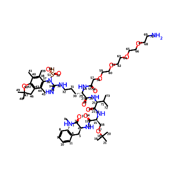 CNC(=O)[C@H](Cc1ccccc1)NC(=O)[C@H](COC(C)(C)C)NC(=O)[C@@H](NC(=O)[C@H](CCCNC(=N)N(c1c(C)c(C)c2c(c1C)CC(C)(C)O2)[SH](=O)=O)NC(=O)COCCOCCOCCOCCN)C(C)C